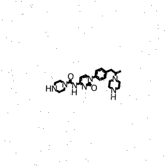 CC(Cc1ccc(-n2ccc(NC(=O)N3CCNCC3)nc2=O)cc1)N1CCNCC1